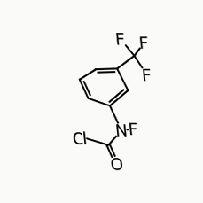 O=C(Cl)N(F)c1cccc(C(F)(F)F)c1